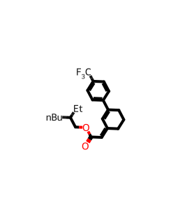 CCCCC(CC)COC(=O)C=C1C=C(c2ccc(C(F)(F)F)cc2)CCC1